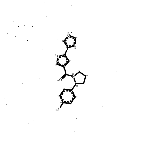 O=C(c1csc(-c2cocn2)c1)N1CCCC1c1ccc(F)cc1